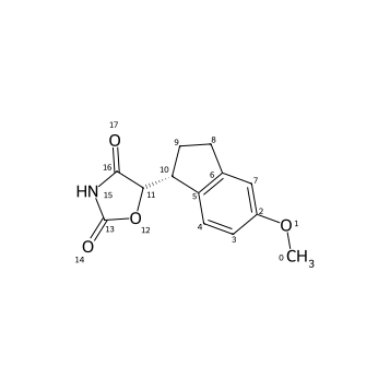 COc1ccc2c(c1)CC[C@H]2C1OC(=O)NC1=O